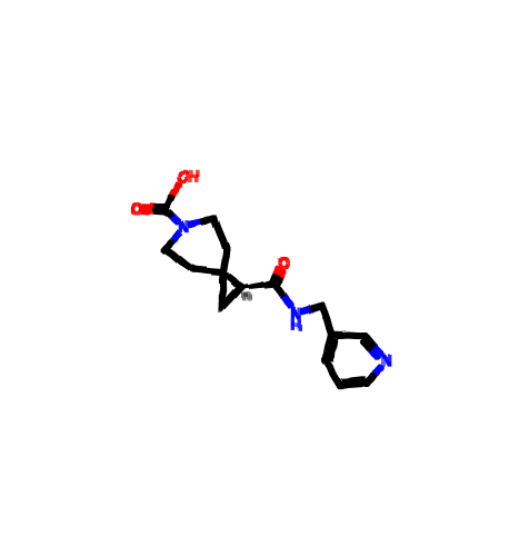 O=C(NCc1cccnc1)[C@H]1CC12CCN(C(=O)O)CC2